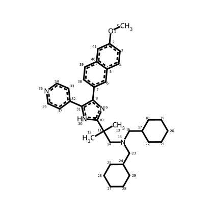 COc1ccc2cc(-c3nc(C(C)(C)CN(CC4CCCCC4)CC4CCCCC4)[nH]c3-c3ccncc3)ccc2c1